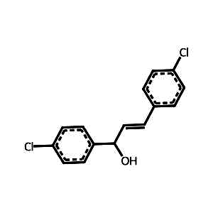 OC(/C=C/c1ccc(Cl)cc1)c1ccc(Cl)cc1